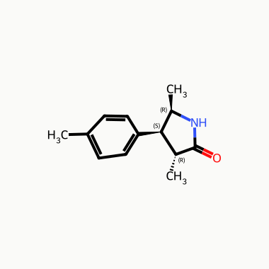 Cc1ccc([C@H]2[C@@H](C)NC(=O)[C@@H]2C)cc1